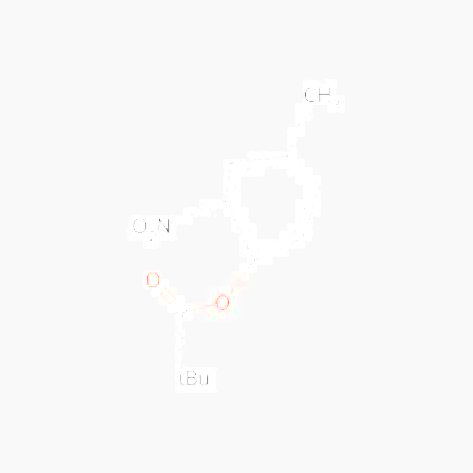 Cc1ccc(OC(=O)C(C)(C)C)c([N+](=O)[O-])c1